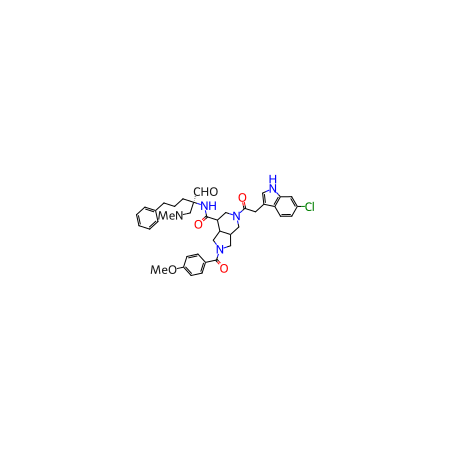 CNC[C@@](C=O)(CCCc1ccccc1)NC(=O)C1CN(C(=O)Cc2c[nH]c3cc(Cl)ccc23)CC2CN(C(=O)c3ccc(OC)cc3)CC21